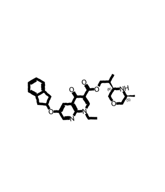 CCn1cc(C(=O)OCC(C)[C@@H]2COC[C@H](C)N2)c(=O)c2cc(OC3Cc4ccccc4C3)cnc21